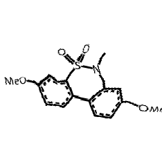 COc1ccc2c(c1)N(C)S(=O)(=O)c1cc(OC)ccc1-2